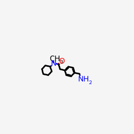 CN(C(=O)Cc1ccc(CN)cc1)C1CCCCC1